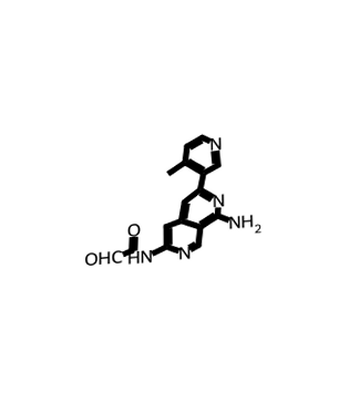 Cc1ccncc1-c1cc2cc(NC(=O)C=O)ncc2c(N)n1